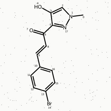 Cn1cc(O)c(C(=O)/C=C/c2ccc(Br)cc2)n1